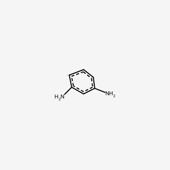 Nc1[c]ccc(N)c1